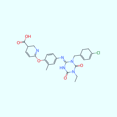 CCn1c(=O)[nH]/c(=N\c2ccc(OC3=NCC(C(=O)O)C=C3)c(C)c2)n(CC2=CC=C(Cl)CC2)c1=O